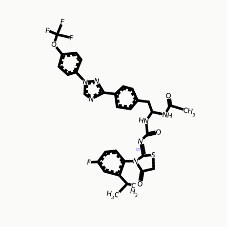 CC(=O)NC(Cc1ccc(-c2ncn(-c3ccc(OC(F)(F)F)cc3)n2)cc1)NC(=O)/N=C1\SCC(=O)N1c1ccc(F)cc1C(C)C